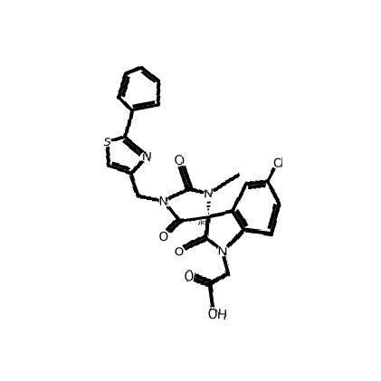 CN1C(=O)N(Cc2csc(-c3ccccc3)n2)C(=O)[C@@]12C(=O)N(CC(=O)O)c1ccc(Cl)cc12